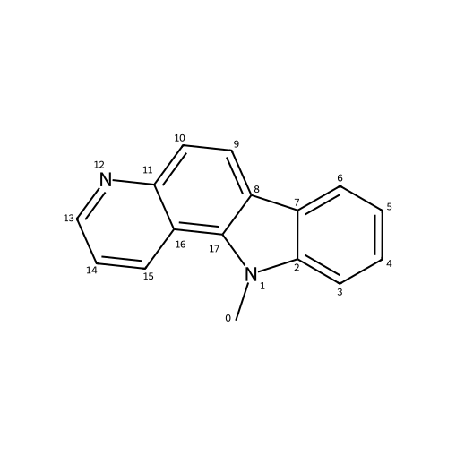 Cn1c2ccccc2c2ccc3ncccc3c21